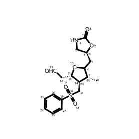 C[C@H]1C(C[C@H]2CNC(=O)O2)O[C@@H](CC=O)[C@@H]1CS(=O)(=O)c1ccccc1